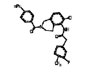 CCCc1ccc(C(=O)N2CCc3c(ccc(Cl)c3NC(=O)Cc3ccc(C(F)(F)F)c(F)c3)C2)cc1